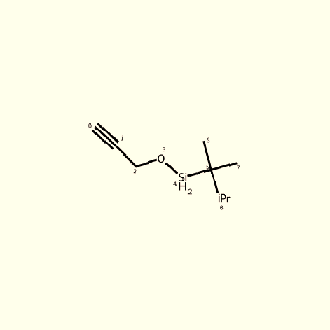 C#CCO[SiH2]C(C)(C)C(C)C